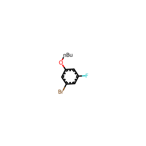 CCCCOc1cc(F)cc(Br)c1